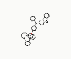 c1ccc2c(c#1)SC1=CC=C(N(c3ccccc3)c3ccc(-c4ccc5c(c4)C4=C6C=CCC=C4c4cccc-5c4C4C=CC=CC64)cc3)CC12